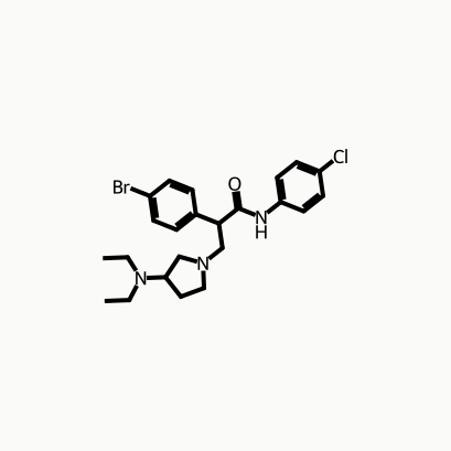 CCN(CC)C1CCN(CC(C(=O)Nc2ccc(Cl)cc2)c2ccc(Br)cc2)C1